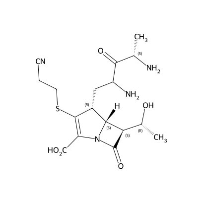 C[C@H](N)C(=O)C(N)C[C@H]1C(SCCC#N)=C(C(=O)O)N2C(=O)[C@H]([C@@H](C)O)[C@@H]12